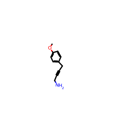 COc1ccc(CC#CCN)cc1